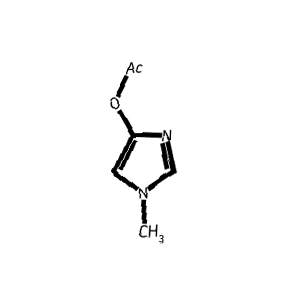 CC(=O)Oc1cn(C)cn1